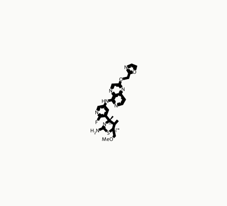 COC[C@@]1(C)SC(N)=N[C@](C)(c2cc(Nc3nccc4nc(OCc5ncco5)cnc34)cnc2F)C1C